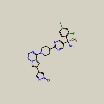 CCn1cc(-c2cc3c(N4CC=C(c5ncc([C@](C)(N)c6ccc(F)cc6F)cn5)CC4)ncnn3c2)cn1